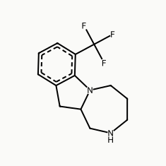 FC(F)(F)c1cccc2c1N1CCCNCC1C2